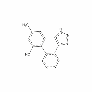 Cc1ccc(-c2ccccc2-c2c[nH]nn2)c(O)c1